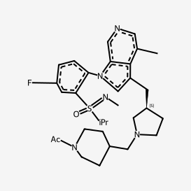 CN=S(=O)(c1cc(F)ccc1-n1cc(C[C@H]2CCN(CC3CCN(C(C)=O)CC3)C2)c2c(C)cncc21)C(C)C